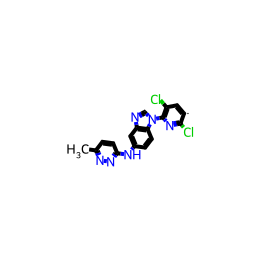 Cc1ccc(Nc2ccc3c(c2)ncn3-c2nc(Cl)[c]cc2Cl)nn1